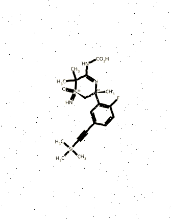 CC1(C)C(NC(=O)O)=N[C@](C)(c2cc(C#C[Si](C)(C)C)ccc2F)C[S@@]1(=N)=O